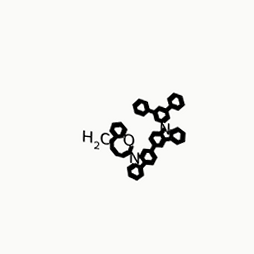 C=C1/C=C\C=C(\n2c3ccccc3c3ccc(-c4ccc5c(c4)c4ccccc4n5-c4cc(-c5ccccc5)cc(-c5ccccc5)c4)cc32)COc2ccccc21